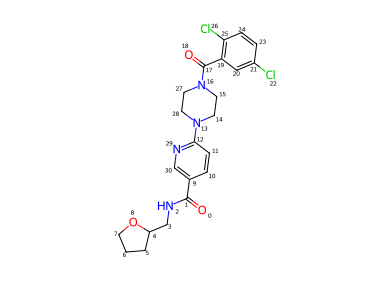 O=C(NCC1CCCO1)c1ccc(N2CCN(C(=O)c3cc(Cl)ccc3Cl)CC2)nc1